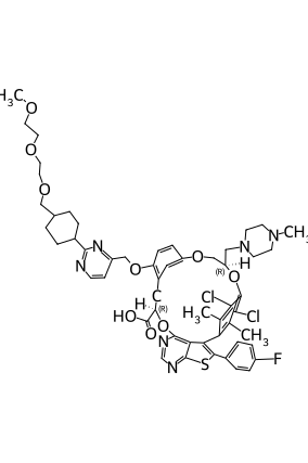 COCCOCCOCC1CCC(c2nccc(COc3ccc4cc3C[C@H](C(=O)O)Oc3ncnc5sc(-c6ccc(F)cc6)c(c35)-c3c(C)c(Cl)c(c(Cl)c3C)O[C@H](CN3CCN(C)CC3)CO4)n2)CC1